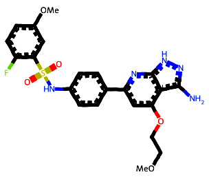 COCCOc1cc(-c2ccc(NS(=O)(=O)c3cc(OC)ccc3F)cc2)nc2[nH]nc(N)c12